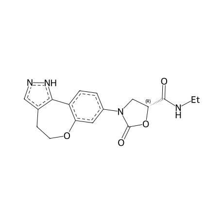 CCNC(=O)[C@H]1CN(c2ccc3c(c2)OCCc2cn[nH]c2-3)C(=O)O1